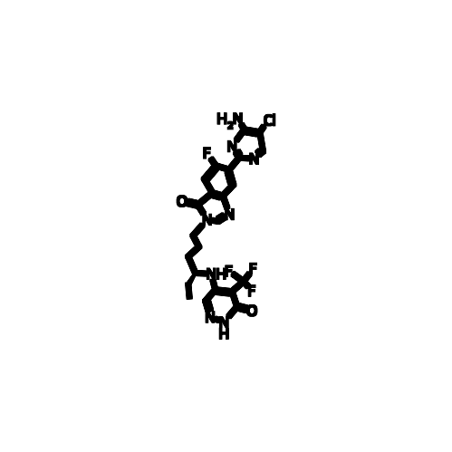 CC[C@@H](CCCn1cnc2cc(-c3ncc(Cl)c(N)n3)c(F)cc2c1=O)Nc1cn[nH]c(=O)c1C(F)(F)F